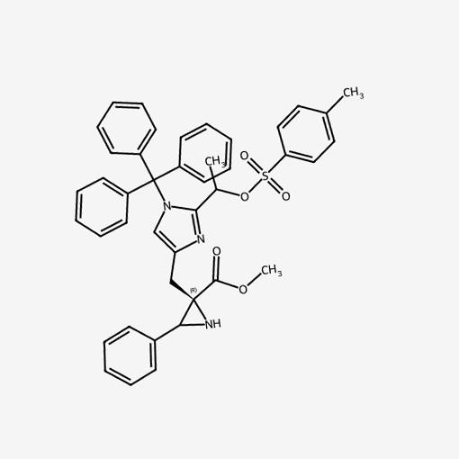 COC(=O)[C@]1(Cc2cn(C(c3ccccc3)(c3ccccc3)c3ccccc3)c(C(C)OS(=O)(=O)c3ccc(C)cc3)n2)NC1c1ccccc1